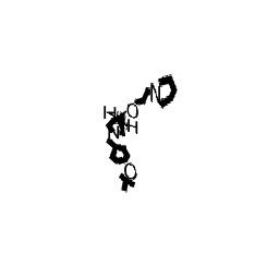 CC(C)(C)Oc1ccc(CN2C[C@@H]3[C@H](COCCCN4CCCCC4)[C@@H]3C2)cc1